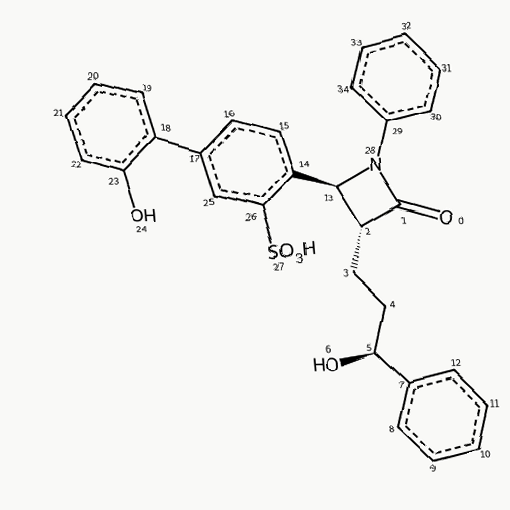 O=C1[C@H](CC[C@H](O)c2ccccc2)[C@@H](c2ccc(-c3ccccc3O)cc2S(=O)(=O)O)N1c1ccccc1